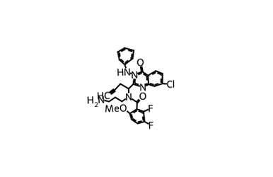 C#CCC(c1nc2cc(Cl)ccc2c(=O)n1Nc1ccccc1)N(CCCN)C(=O)c1c(OC)ccc(F)c1F